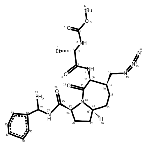 CC[C@H](NC(=O)OC(C)(C)C)C(=O)N[C@@H]1C(=O)N2[C@@H](CC[C@@H]1CN=[N+]=[N-])CC[C@H]2C(=O)NC(P)c1ccccc1